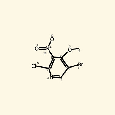 COc1c(Br)cnc(Cl)c1[N+](=O)[O-]